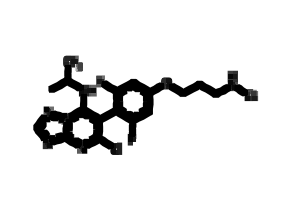 CCNCCCOc1cc(F)c(-c2c(Cl)nc3ncnn3c2NC(C)C(F)(F)F)c(F)c1